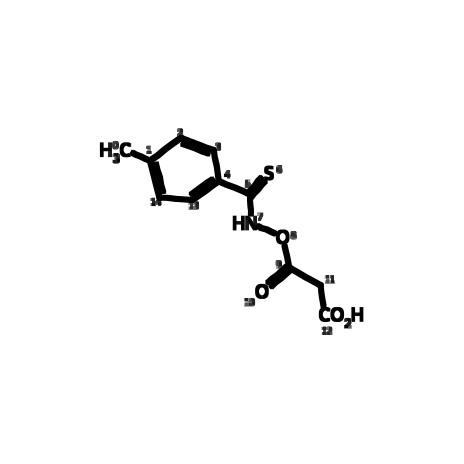 Cc1ccc(C(=S)NOC(=O)CC(=O)O)cc1